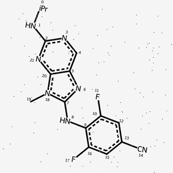 CC(C)Nc1ncc2nc(Nc3c(F)cc(C#N)cc3F)n(C)c2n1